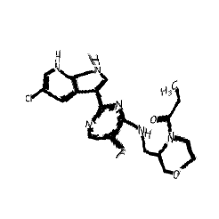 CCC(=O)N1CCOCC1CNc1nc(C2=CNC3NC=C(Cl)C=C23)ncc1F